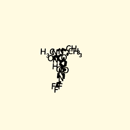 CCCOc1ccc(S(=O)(=O)N2CCN(CCC(F)(F)F)CC2)cc1C1NC(=O)C2=C1CN(CCC)CN2C